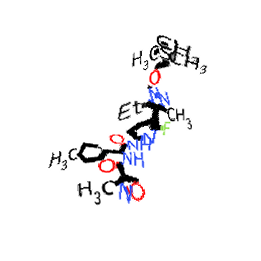 CCc1c(-c2ccc(NC(=O)[C@@H](NC(=O)c3conc3C)[C@H]3CC[C@H](C)CC3)nc2F)c(C)nn1COCC[Si](C)(C)C